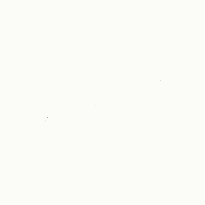 OBOc1ccc(-c2ccccc2)cc1